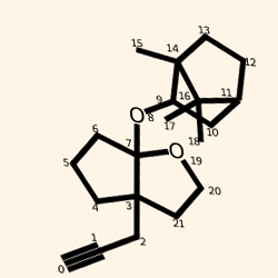 C#CCC12CCCC1(OC1CC3CCC1(C)C3(C)C)OCC2